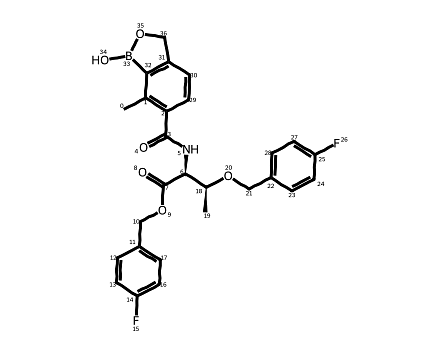 Cc1c(C(=O)N[C@H](C(=O)OCc2ccc(F)cc2)[C@H](C)OCc2ccc(F)cc2)ccc2c1B(O)OC2